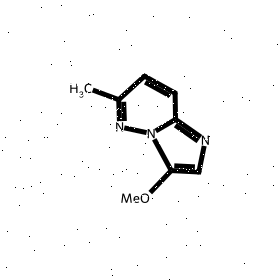 COc1cnc2ccc(C)nn12